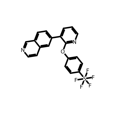 FS(F)(F)(F)(F)c1ccc(Oc2ncccc2-c2ccc3cnccc3c2)cc1